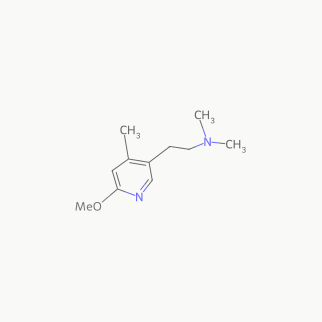 COc1cc(C)c(CCN(C)C)cn1